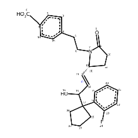 O=C(O)c1ccc(CCN2C(=O)CC[C@@H]2/C=C/C(O)C2(c3ccccc3F)CCCC2)cc1